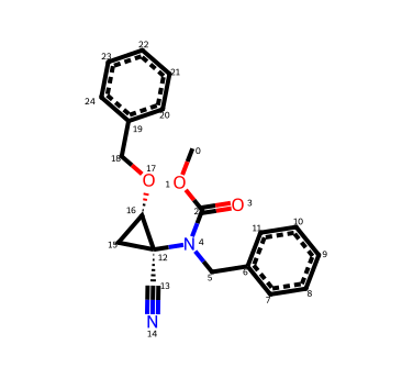 COC(=O)N(Cc1ccccc1)[C@@]1(C#N)C[C@@H]1OCc1ccccc1